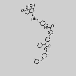 O=C(NCc1ccc(CCNCCc2ccc(O)c3[nH]c(=O)ccc23)cc1)c1ccc(-c2ccc(C(C(=O)OCC3CCN(Cc4ccccc4)CC3)c3ccccc3)cc2)s1